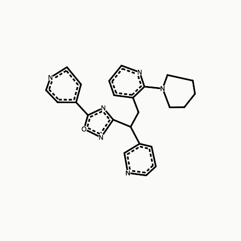 c1cncc(C(Cc2cccnc2N2CCCCC2)c2noc(-c3ccncc3)n2)c1